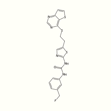 O=C(Nc1cccc(CF)c1)Nc1ncc(CCSc2ncnc3ccsc23)s1